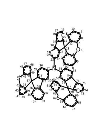 c1ccc2c(c1)Oc1ccccc1C21c2ccccc2-c2ccc(N(c3ccc4c(c3)-c3ccccc3C43c4ccccc4Sc4ccccc43)c3ccc4c(c3)C3(c5ccccc5Sc5ccccc53)c3ccccc3-4)cc21